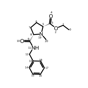 CCOC(=O)[C@H]1CC[C@@H](C(=O)NCc2ccccc2)N1C